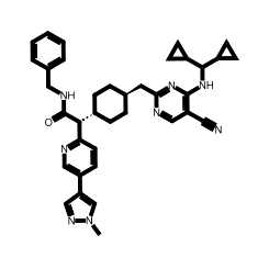 Cn1cc(-c2ccc(C(C(=O)NCc3ccccc3)[C@H]3CC[C@H](Cc4ncc(C#N)c(NC(C5CC5)C5CC5)n4)CC3)nc2)cn1